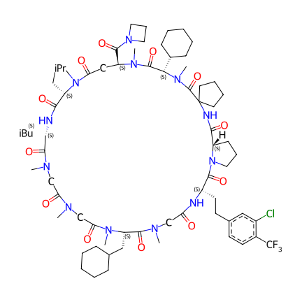 CC[C@H](C)[C@@H]1NC(=O)[C@H](CC(C)C)N(C)C(=O)C[C@@H](C(=O)N2CCC2)N(C)C(=O)[C@H](C2CCCCC2)N(C)C(=O)C2(CCCC2)NC(=O)[C@@H]2CCCN2C(=O)[C@H](CCc2ccc(C(F)(F)F)c(Cl)c2)NC(=O)CN(C)C(=O)[C@H](CC2CCCCC2)N(C)C(=O)CN(C)C(=O)CN(C)C1=O